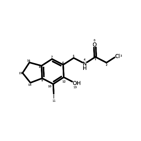 O=C(CCl)NCc1cc2c(c(I)c1O)CCC2